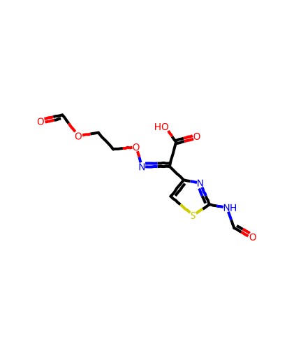 O=CNc1nc(C(=NOCCOC=O)C(=O)O)cs1